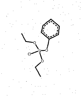 CCO[Si](Cl)(OCC)Oc1ccccc1